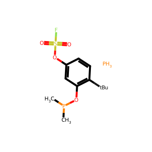 CP(C)Oc1cc(OS(=O)(=O)F)ccc1C(C)(C)C.P